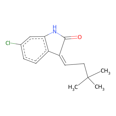 CC(C)(C)CC=C1C(=O)Nc2cc(Cl)ccc21